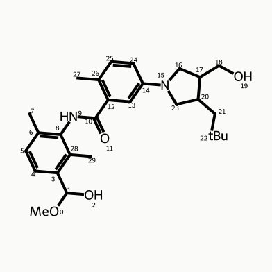 COC(O)c1ccc(C)c(NC(=O)c2cc(N3CC(CO)C(CC(C)(C)C)C3)ccc2C)c1C